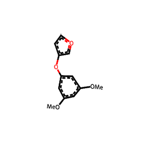 COc1cc(OC)cc(Oc2c[c]oc2)c1